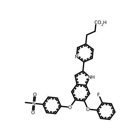 CS(=O)(=O)c1ccc(Oc2cc3cc(-c4ccc(CCC(=O)O)cn4)[nH]c3cc2Oc2ccccc2F)cc1